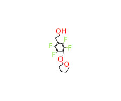 OCCc1c(F)c(F)c(COC2CCCCO2)c(F)c1F